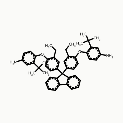 CCc1cc(C2(c3ccc(Oc4ccc(N)cc4C(C)(C)C)c(CC)c3)c3ccccc3-c3ccccc32)ccc1Oc1ccc(N)cc1C(C)(C)C